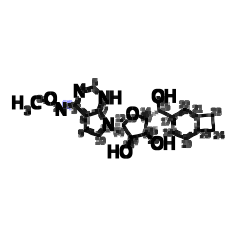 CO/N=c1\nc[nH]c2c1ccn2[C@@H]1O[C@H](C(O)c2ccc3c(c2)CC3)[C@@H](O)[C@H]1O